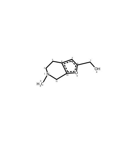 CN1CCc2cc(CO)oc2C1